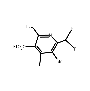 CCOC(=O)c1c(C(F)(F)F)nc(C(F)F)c(Br)c1C